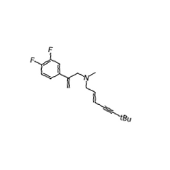 C=C(CN(C)C/C=C/C#CC(C)(C)C)c1ccc(F)c(F)c1